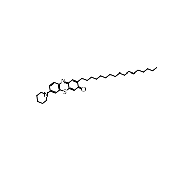 CCCCCCCCCCCCCCCCCc1cc2nc3ccc(N4CCCCC4)cc3sc-2cc1=O